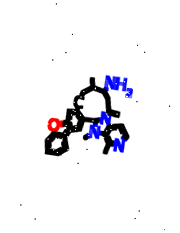 C=C1CC(N)C(C)CCc2cc3oc4ccccc4c3cc2C2N(C)c3c(ccnc3C)N12